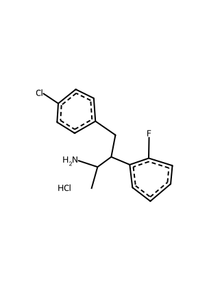 CC(N)C(Cc1ccc(Cl)cc1)c1ccccc1F.Cl